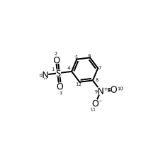 [N]S(=O)(=O)c1cccc([N+](=O)[O-])c1